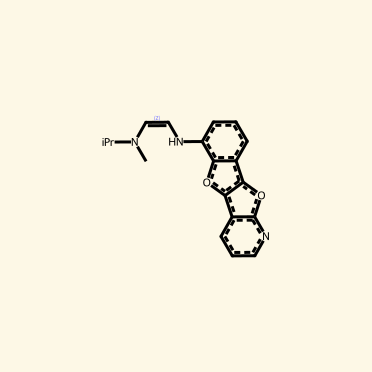 CC(C)N(C)/C=C\Nc1cccc2c1oc1c3cccnc3oc21